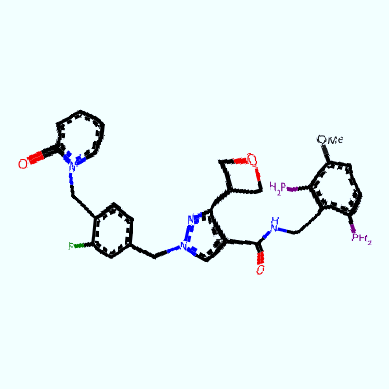 COc1ccc(P)c(CNC(=O)c2cn(Cc3ccc(Cn4ccccc4=O)c(F)c3)nc2C2COC2)c1P